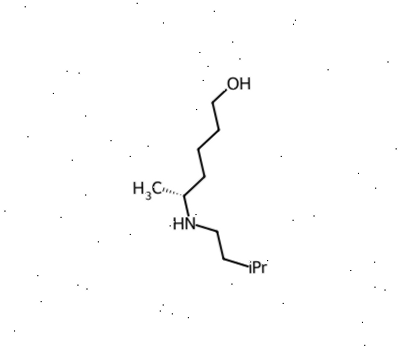 CC(C)CCN[C@H](C)CCCCO